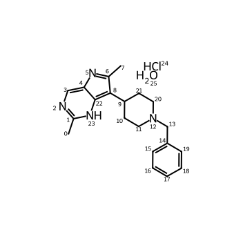 Cc1ncc2nc(C)c(C3CCN(Cc4ccccc4)CC3)c-2[nH]1.Cl.O